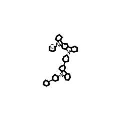 c1ccc(-c2ccc(-n3c4ccccc4c4cc(-c5ccc(-n6c7ccccc7c7cc8c9ccccc9n(-c9ccccc9)c8cc76)cc5)ccc43)cc2)cc1